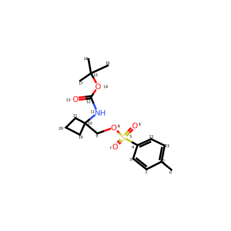 Cc1ccc(S(=O)(=O)OCC2(NC(=O)OC(C)(C)C)CCC2)cc1